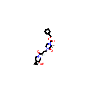 C[C@H]1C(=O)N(CC[C@H](F)C(=O)N2CCC3(CC3)[C@H](O)C2)CCN1C(=O)OCc1ccccc1